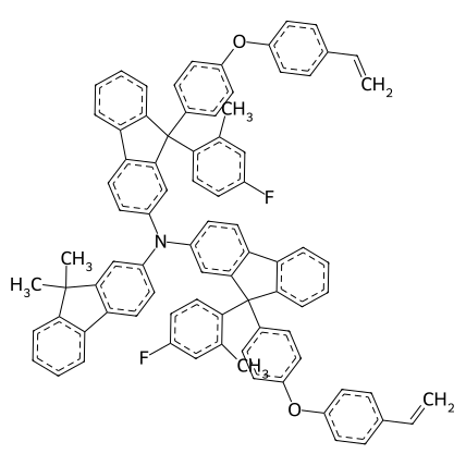 C=Cc1ccc(Oc2ccc(C3(c4ccc(F)cc4C)c4ccccc4-c4ccc(N(c5ccc6c(c5)C(C)(C)c5ccccc5-6)c5ccc6c(c5)C(c5ccc(Oc7ccc(C=C)cc7)cc5)(c5ccc(F)cc5C)c5ccccc5-6)cc43)cc2)cc1